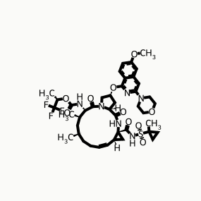 COc1ccc2c(O[C@@H]3C[C@H]4C(=O)N[C@]5(C(=O)NS(=O)(=O)C6(C)CC6)C[C@H]5/C=C\CC[C@@H](C)C[C@@H](C)[C@H](NC(=O)O[C@H](C)C(F)(F)F)C(=O)N4C3)nc(N3CCOCC3)cc2c1